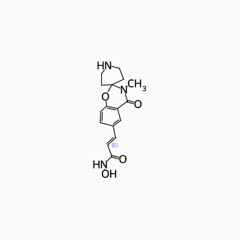 CN1C(=O)c2cc(/C=C/C(=O)NO)ccc2OC12CCNCC2